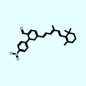 CC(C=CC1=C(C)CCCC1(C)C)=CC=CC1=CC=C(C=O)C(c2ccc([N+](=O)[O-])cc2)C1